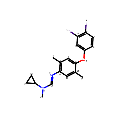 Cc1cc(Oc2ccc(I)c(I)c2)c(C)cc1N=CN(C)C1CC1